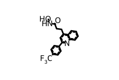 O=C(CCc1cc(-c2ccc(C(F)(F)F)cc2)nc2ccccc12)NO